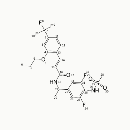 CCCOc1cc(C(F)(F)F)ccc1C=CC(=O)NC(C)c1cc(F)c(NS(C)(=O)=O)c(F)c1